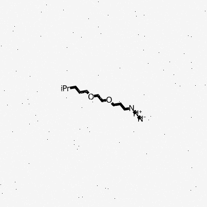 CC(C)CCCOCCOCCCN=[N+]=[N-]